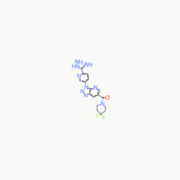 N=C(NN)c1ccc(-n2nnc3cc(C(=O)N4CCC(F)(F)CC4)cnc32)cn1